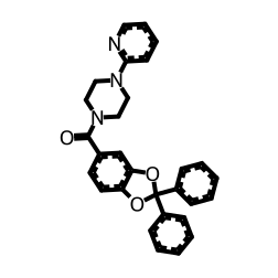 O=C(c1ccc2c(c1)OC(c1ccccc1)(c1ccccc1)O2)N1CCN(c2ccccn2)CC1